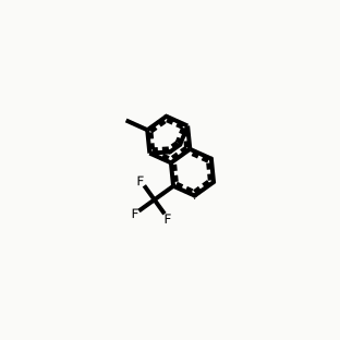 Cc1cc2ccc1c1c(C(F)(F)F)[c]ccc21